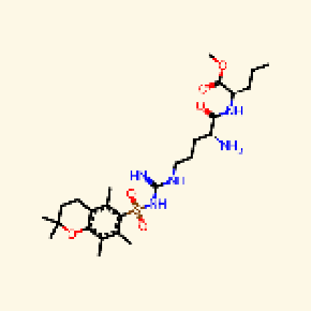 CCC[C@@H](NC(=O)[C@H](N)CCCNC(=N)NS(=O)(=O)c1c(C)c(C)c2c(c1C)CCC(C)(C)O2)C(=O)OC